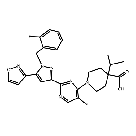 CC(C)C1(C(=O)O)CCN(c2nc(-c3cc(-c4ccon4)n(Cc4ccccc4F)n3)ncc2F)CC1